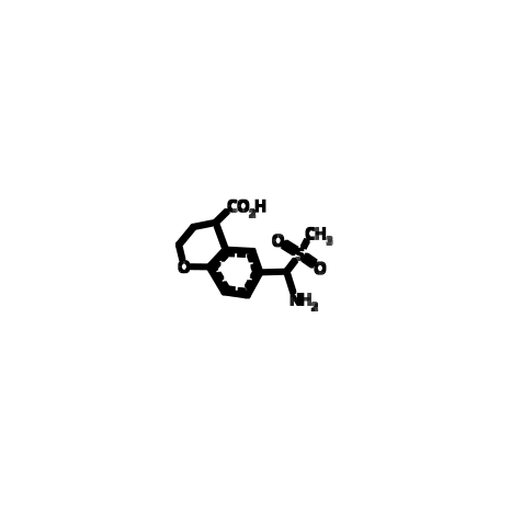 CS(=O)(=O)C(N)c1ccc2c(c1)C(C(=O)O)CCO2